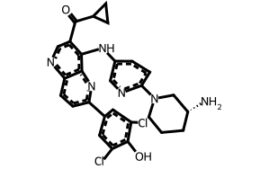 N[C@@H]1CCCN(c2ccc(Nc3c(C(=O)C4CC4)cnc4ccc(-c5cc(Cl)c(O)c(Cl)c5)nc34)cn2)C1